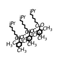 Cc1cc(C)c(C(=O)OCCCCCCC(C)C)c(C)c1.Cc1cc(C)c(C(=O)OCCCCCCC(C)C)c(C)c1.Cc1cc(C)c(C(=O)OCCCCCCC(C)C)c(C)c1